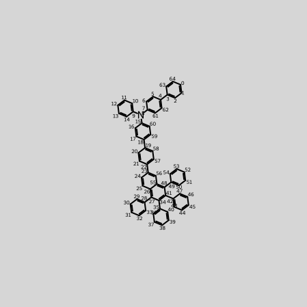 c1ccc(-c2ccc(N(c3ccccc3)c3ccc(-c4ccc(-c5ccc6c(-c7ccccc7)c(-c7ccccc7)c(-c7ccccc7)c(-c7ccccc7)c6c5)cc4)cc3)cc2)cc1